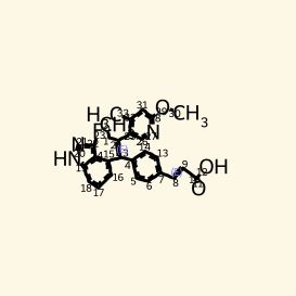 CC/C(=C(/c1ccc(/C=C/C(=O)O)cc1)c1cccc2[nH]nc(F)c12)c1cnc(OC)cc1C